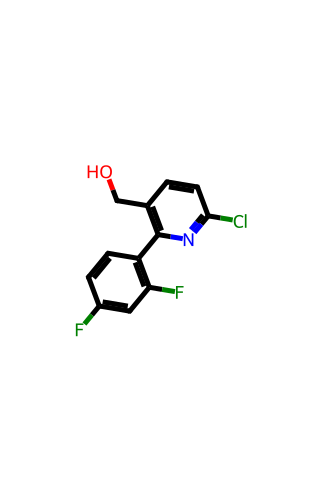 OCc1ccc(Cl)nc1-c1ccc(F)cc1F